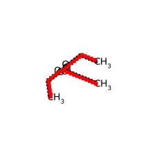 CCCCCCCCC/C=C\CCCCCCCC(=O)OC[C@H](COC(=O)CCCCCCCCC/C=C\CCCCCCCCCC)OC(=O)CCCCCCCCCCCCCCCCCCCC